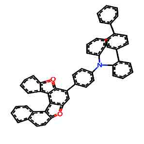 c1ccc(-c2ccc(-c3ccccc3N(c3ccccc3)c3ccc(-c4cc5oc6ccc7ccccc7c6c5c5c4oc4ccccc45)cc3)cc2)cc1